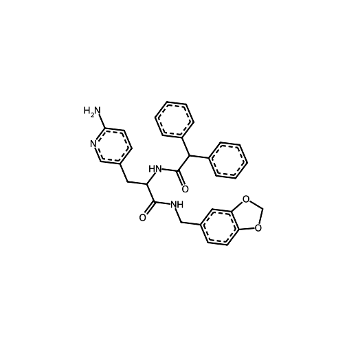 Nc1ccc(CC(NC(=O)C(c2ccccc2)c2ccccc2)C(=O)NCc2ccc3c(c2)OCO3)cn1